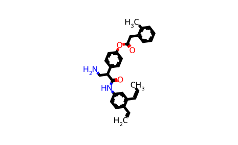 C=Cc1ccc(NC(=O)C(CN)c2ccc(OC(=O)Cc3ccccc3C)cc2)cc1/C=C\C